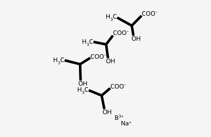 CC(O)C(=O)[O-].CC(O)C(=O)[O-].CC(O)C(=O)[O-].CC(O)C(=O)[O-].[B+3].[Na+]